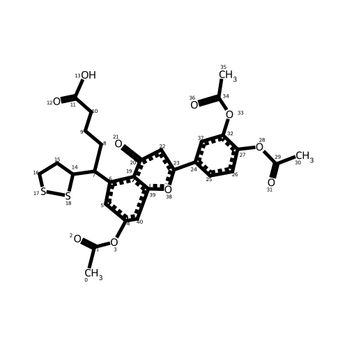 CC(=O)Oc1cc(C(CCCC(=O)O)C2CCSS2)c2c(=O)cc(-c3ccc(OC(C)=O)c(OC(C)=O)c3)oc2c1